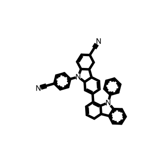 N#Cc1ccc(N2C3C=C(C4=C5C(CC=C4)c4ccccc4N5c4ccccc4)C=CC3C3CC(C#N)C=CC32)cc1